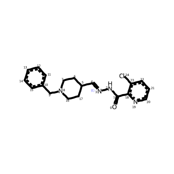 O=C(N/N=C/C1CCN(Cc2ccccc2)CC1)c1ncccc1Cl